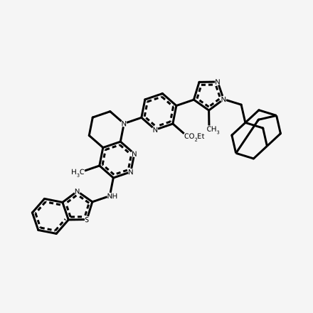 CCOC(=O)c1nc(N2CCCc3c2nnc(Nc2nc4ccccc4s2)c3C)ccc1-c1cnn(CC23CC4CC(CC(C4)C2)C3)c1C